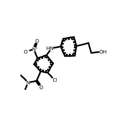 CN(C)C(=O)c1cc([N+](=O)[O-])c(Nc2ccc(CCO)cc2)cc1Cl